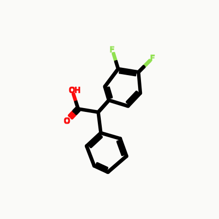 O=C(O)C(c1ccccc1)c1ccc(F)c(F)c1